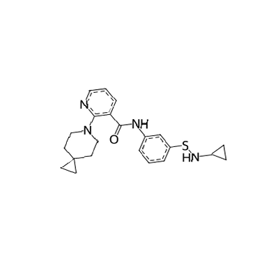 O=C(Nc1cccc(SNC2CC2)c1)c1cccnc1N1CCC2(CC1)CC2